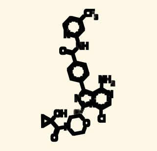 Nc1ncc(Cl)n2c([C@H]3CN(C(=O)C4(O)CC4)CCO3)nc(-c3ccc(C(=O)Nc4cc(C(F)(F)F)ccn4)cc3)c12